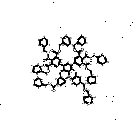 O=C(OCc1ccccc1)c1ccc2c(c1)Oc1c(-c3cc(C(=O)OCc4ccccc4)c(C(=O)OCc4ccccc4)c(C(=O)OCc4ccccc4)c3)cc(-c3cc(C(=O)OCc4ccccc4)c(C(=O)OCc4ccccc4)c(C(=O)OCc4ccccc4)c3)c3c1B2c1ccc(C(=O)OCc2ccccc2)cc1O3